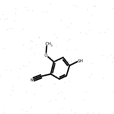 COc1cc(S)ccc1C#N